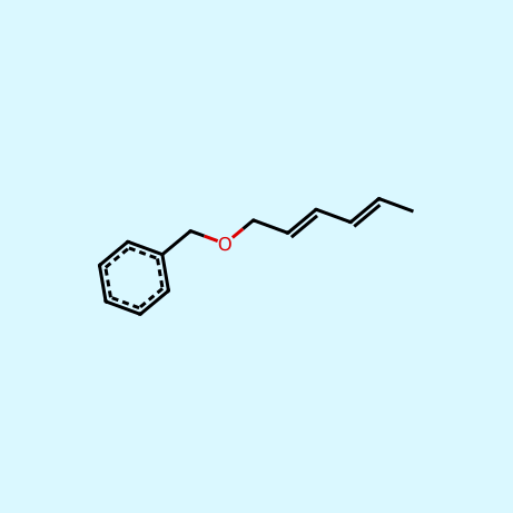 C/C=C/C=C/COCc1ccccc1